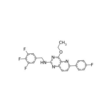 CCOc1nc(NCc2cc(F)c(F)c(F)c2)nc2ccc(-c3ccc(F)cc3)nc12